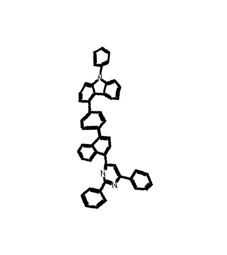 c1ccc(-c2cc(-c3ccc(-c4ccc(-c5cccc6c5c5ccccc5n6-c5ccccc5)cc4)c4ccccc34)nc(-c3ccccc3)n2)cc1